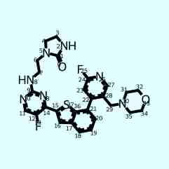 O=C1NCCN1CCNc1ncc(F)c(-c2cc3cccc(-c4cc(F)ncc4CN4CCOCC4)c3s2)n1